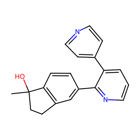 CC1(O)CCc2cc(-c3ncccc3-c3ccncc3)ccc21